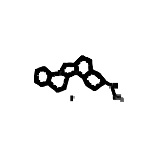 CNc1ccc2c(ccc3c[n+]4c5ccccc5ccc4n32)c1.[I-]